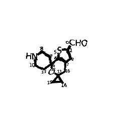 O=Cc1cc2c(s1)C1(CCNCC1)OC1(CC1)C2